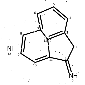 N=C1Cc2cccc3cccc1c23.[Ni]